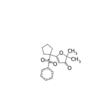 CC1(C)OC(C2(S(=O)(=O)c3ccccc3)CCCC2)=CC1=O